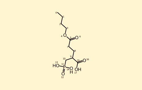 CCCCOC(=O)CCC(CP(=O)(O)O)C(=O)O